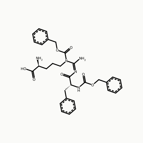 NC(=NC(=O)[C@@H](Cc1ccccc1)NC(=O)OCc1ccccc1)N(CCC[C@H](N)C(=O)O)C(=O)OCc1ccccc1